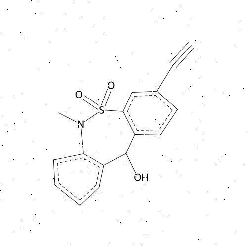 C#Cc1ccc2c(c1)S(=O)(=O)N(C)c1ccccc1C2O